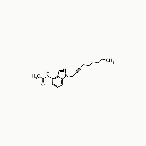 CCCCCCC#CCn1ncc2c(NC(C)=O)cccc21